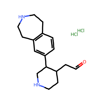 Cl.Cl.O=CCC1CCNCC1c1ccc2c(c1)CCNCC2